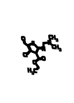 CCOC(=O)C1C(=NCN(C)C)SC(C=O)=C1Cl